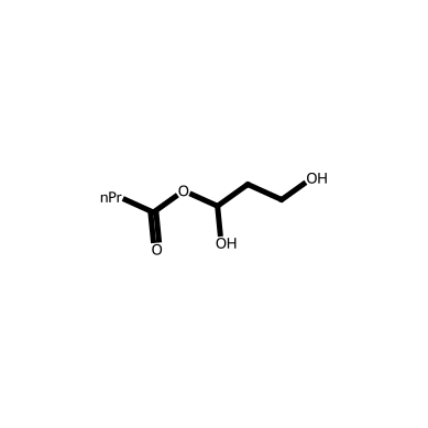 CCCC(=O)OC(O)CCO